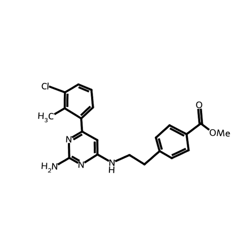 COC(=O)c1ccc(CCNc2cc(-c3cccc(Cl)c3C)nc(N)n2)cc1